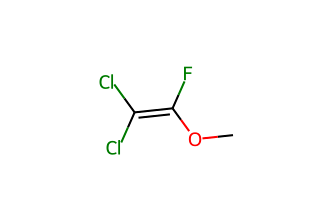 COC(F)=C(Cl)Cl